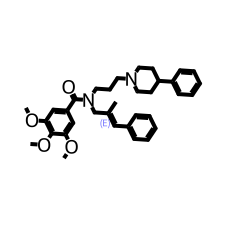 COc1cc(C(=O)N(CCCN2CCC(c3ccccc3)CC2)C/C(C)=C/c2ccccc2)cc(OC)c1OC